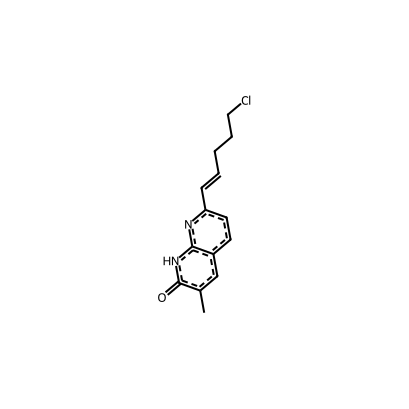 Cc1cc2ccc(/C=C/CCCCl)nc2[nH]c1=O